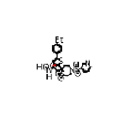 CCc1ccc(-c2ccc(C3(CC(=O)NO)CCN(S(=O)(=O)c4cccnc4)CCS3(=O)=O)s2)cc1